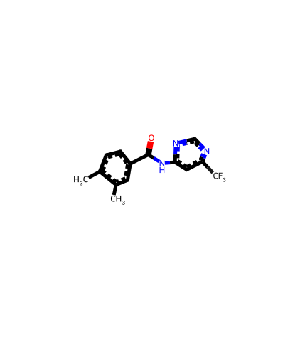 Cc1ccc(C(=O)Nc2cc(C(F)(F)F)ncn2)cc1C